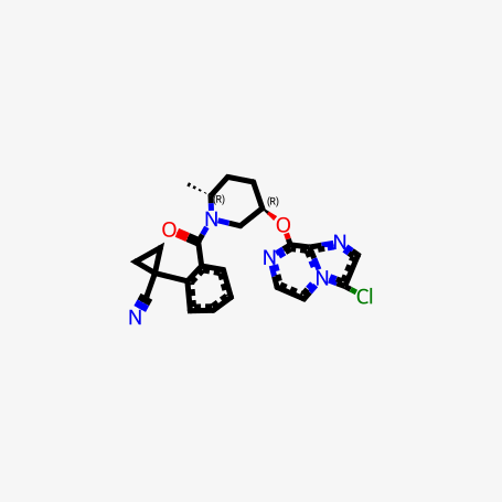 C[C@@H]1CC[C@@H](Oc2nccn3c(Cl)cnc23)CN1C(=O)c1ccccc1C1(C#N)CC1